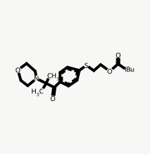 CCC(C)C(=O)OCCSc1ccc(C(=O)C(C)(C)N2CCOCC2)cc1